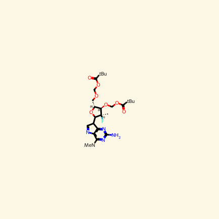 CNc1nc(N)nc2c1N=CC2C1O[C@H](COCOC(=O)C(C)(C)C)[C@@H](OCOC(=O)C(C)(C)C)[C@@]1(C)F